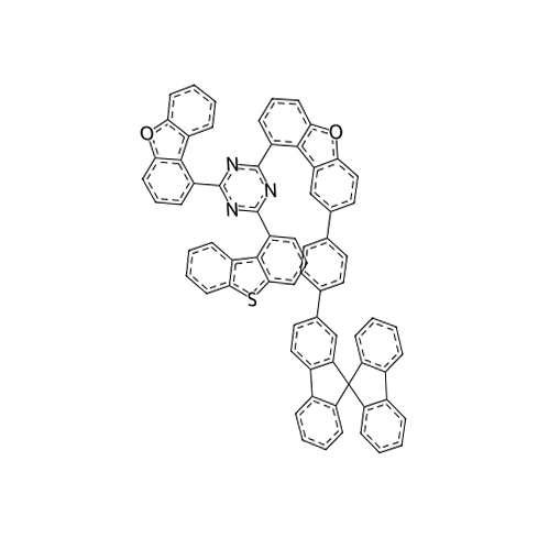 c1ccc2c(c1)-c1ccccc1C21c2ccccc2-c2ccc(-c3ccc(-c4ccc5oc6cccc(-c7nc(-c8cccc9oc%10ccccc%10c89)nc(-c8cccc9sc%10ccccc%10c89)n7)c6c5c4)cc3)cc21